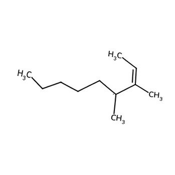 CC=C(C)[C](C)CCCCC